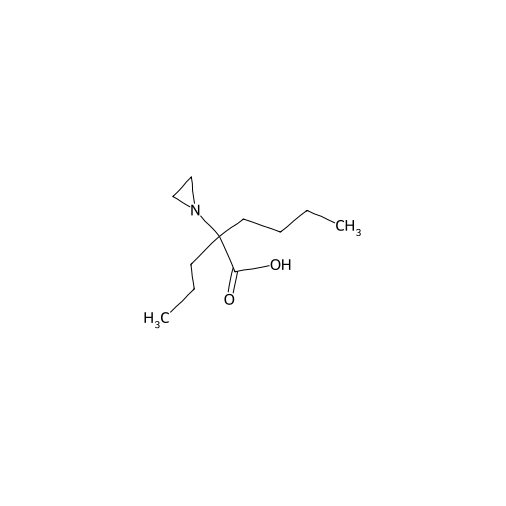 CCCCC(CCC)(C(=O)O)N1CC1